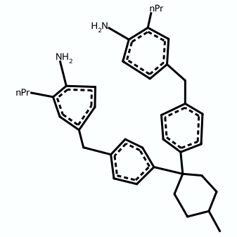 CCCc1cc(Cc2ccc(C3(c4ccc(Cc5ccc(N)c(CCC)c5)cc4)CCC(C)CC3)cc2)ccc1N